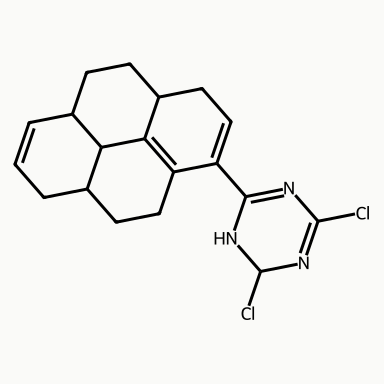 ClC1=NC(Cl)NC(C2=CCC3CCC4C=CCC5CCC2=C3C45)=N1